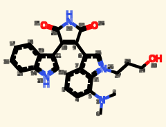 CN(C)c1cccc2c(C3=C(c4c[nH]c5ccccc45)C(=O)NC3=O)cn(CCCO)c12